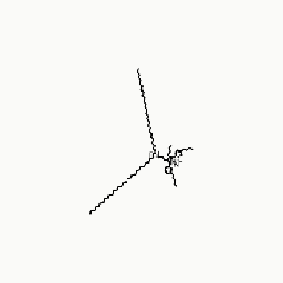 CCCCCCCCCCCCCCCCCCCCCCCCCCCC[CH2][Pd][CH2]CCCCCCCCCCCCCCCCCCCCCCCCCCCC.CCCCCc1cccc(C2=C(CCCC)C(CCCC)=C(c3ccc(CCCC)cc3)[N+]2=[N-])c1